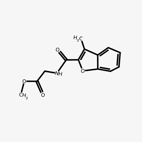 COC(=O)CNC(=O)c1oc2ccccc2c1C